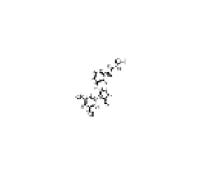 O=C1CC[C@@H](Cc2cccc(OCCO)c2)N1c1cc(Cl)cc(Cl)c1